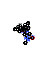 CC1(C)c2ccccc2-c2ccc3c(c21)c1ccccc1n3-c1ccc(-c2nc(-c3ccccc3)nc(-c3ccccc3)n2)c(-c2cc(-c3ccccn3)ccc2-n2c3ccccc3c3c4c(ccc32)-c2ccccc2C4(C)C)c1